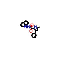 Cc1cc(-c2ccccc2)c(C(=O)C(=O)Nc2cccc3ccccc23)n1C